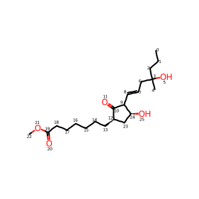 CCCC(C)(O)CC=CC1C(=O)[C@H](CCCCCCC(=O)OC)C[C@@H]1O